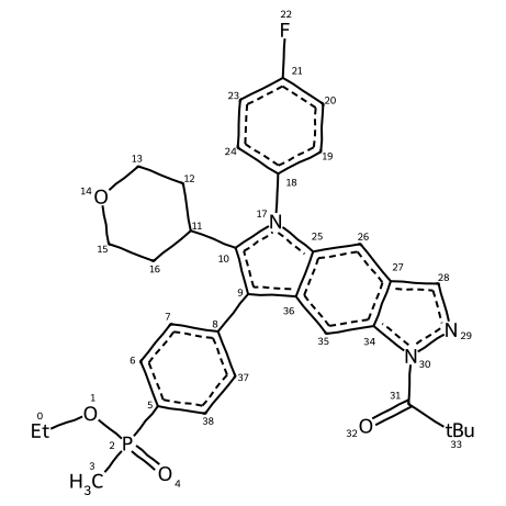 CCOP(C)(=O)c1ccc(-c2c(C3CCOCC3)n(-c3ccc(F)cc3)c3cc4cnn(C(=O)C(C)(C)C)c4cc23)cc1